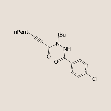 CCCCCC#CC(=O)N(NC(=O)c1ccc(Cl)cc1)C(C)(C)C